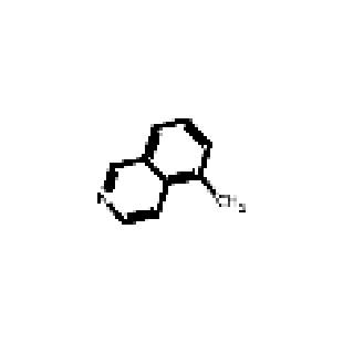 Cc1cccc2cnccc12